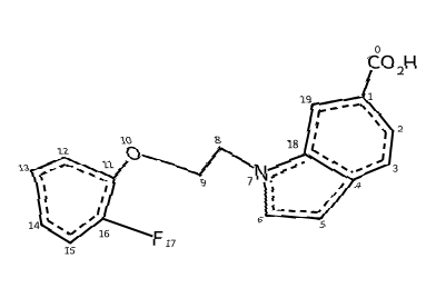 O=C(O)c1ccc2ccn(CCOc3ccccc3F)c2c1